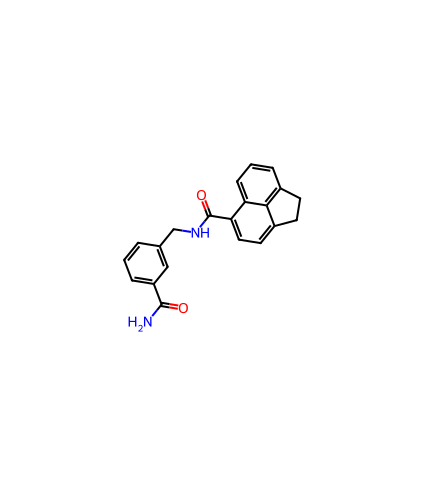 NC(=O)c1cccc(CNC(=O)c2ccc3c4c(cccc24)CC3)c1